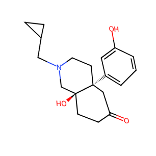 O=C1CC[C@]2(O)CN(CC3CC3)CC[C@@]2(c2cccc(O)c2)C1